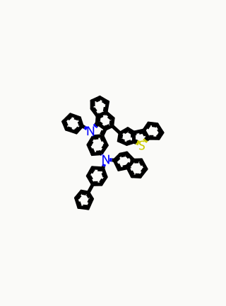 c1ccc(-c2ccc(N(c3ccc4ccccc4c3)c3ccc4c(c3)c3c(-c5ccc6sc7ccccc7c6c5)cc5ccccc5c3n4-c3ccccc3)cc2)cc1